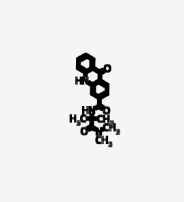 CN(C)C(=O)C(C)(C)NC(=O)c1ccc2c(=O)c3ccccc3[nH]c2c1